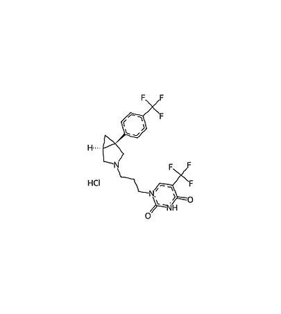 Cl.O=c1[nH]c(=O)n(CCCN2C[C@H]3C[C@]3(c3ccc(C(F)(F)F)cc3)C2)cc1C(F)(F)F